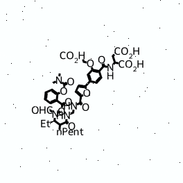 CCCCCC(C(=O)NCNC(=O)c1ccc(-c2ccc(C(=O)NC(CC(=O)O)C(=O)O)c(OCC(=O)O)c2)o1)[C@@H](CC)N(C=O)OC(=O)c1ccccc1OC(=O)N(C)C